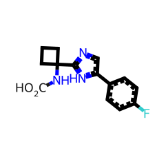 O=C(O)NC1(c2ncc(-c3ccc(F)cc3)[nH]2)CCC1